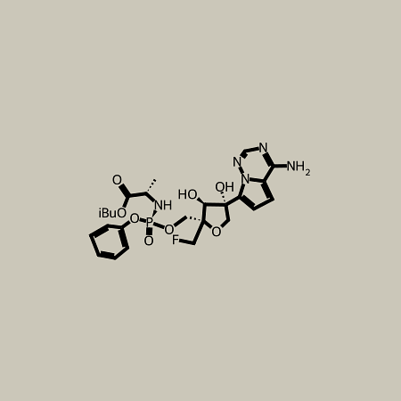 CC(C)COC(=O)[C@H](C)N[P@](=O)(OC[C@@]1(CF)OC[C@](O)(c2ccc3c(N)ncnn23)[C@@H]1O)Oc1ccccc1